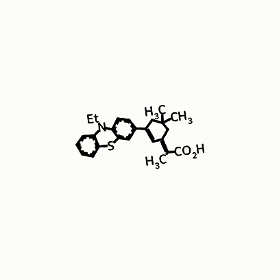 CCN1c2ccccc2Sc2cc(C3=C/C(=C(\C)C(=O)O)CC(C)(C)C3)ccc21